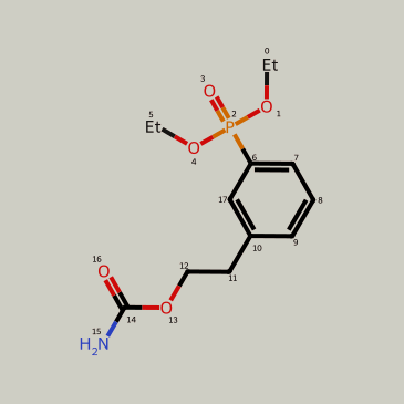 CCOP(=O)(OCC)c1cccc(CCOC(N)=O)c1